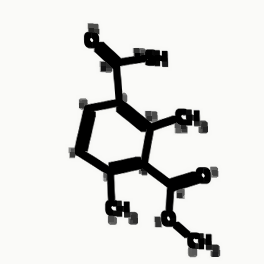 COC(=O)c1c(C)ccc(C(=O)S)c1C